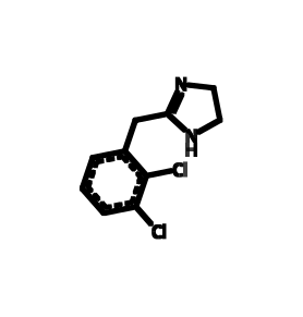 Clc1cccc(CC2=NCCN2)c1Cl